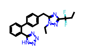 CCn1nc(C(F)(F)CC)nc1Cc1ccc(-c2ccccc2-c2nnn[nH]2)cc1